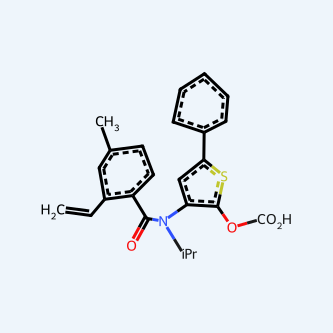 C=Cc1cc(C)ccc1C(=O)N(c1cc(-c2ccccc2)sc1OC(=O)O)C(C)C